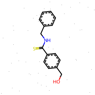 OCc1ccc(C(=S)NCc2ccccc2)cc1